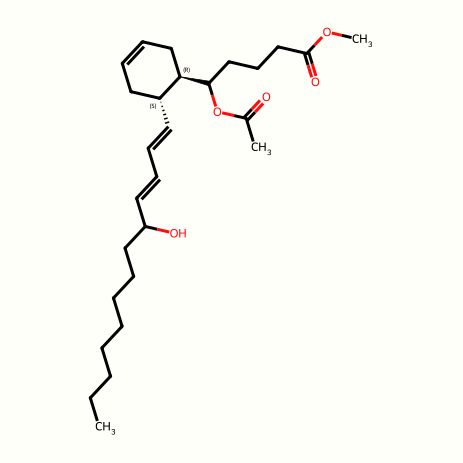 CCCCCCCCC(O)C=CC=C[C@@H]1CC=CC[C@H]1C(CCCC(=O)OC)OC(C)=O